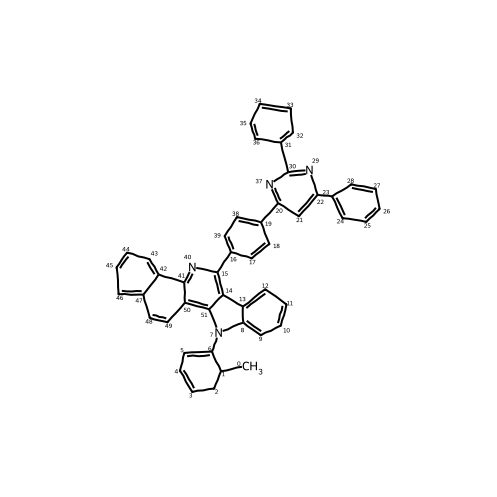 CC1CC=CC=C1n1c2ccccc2c2c(-c3ccc(-c4cc(-c5ccccc5)nc(-c5ccccc5)n4)cc3)nc3c4ccccc4ccc3c21